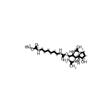 C=C(N)N[C@H]1C(COC(=O)NCCCCCCNC(=O)OC(C)(C)C)NC(=C)N2CC[C@H](O)[C@]12O